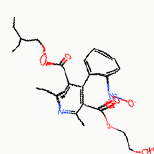 Cc1nc(C)c(C(=O)OCC(C)C)c(-c2ccccc2[N+](=O)[O-])c1C(=O)OCCO